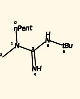 CCCCCN(C)C(=N)NC(C)(C)C